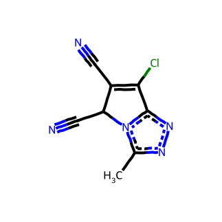 Cc1nnc2n1C(C#N)C(C#N)=C2Cl